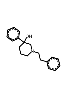 OC1(c2ccccc2)CCCN(CCc2ccccc2)C1